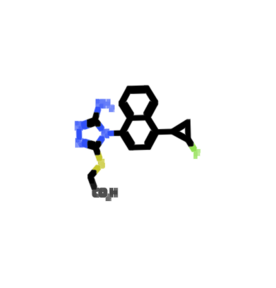 Nc1nnc(SCC(=O)O)n1-c1ccc(C2CC2F)c2ccccc12